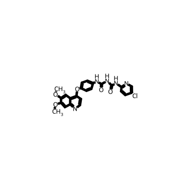 COc1cc2nccc(Oc3ccc(NC(=O)NC(=O)Nc4ccc(Cl)cn4)cc3)c2cc1OC